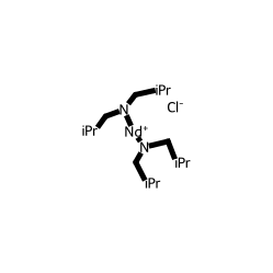 CC(C)C[N](CC(C)C)[Nd+][N](CC(C)C)CC(C)C.[Cl-]